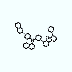 c1ccc(-c2cccc3c2oc2c(-c4cccc(N(c5ccc(-c6ccc7ccccc7c6)cc5)c5cccc6ccccc56)c4)cccc23)cc1